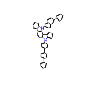 c1ccc(-c2ccc(-c3ccc(-n4c5ccccc5c5c4ccc4c6ccccc6n(-c6ccc7cc(-c8ccccc8)ccc7c6)c45)cc3)cc2)cc1